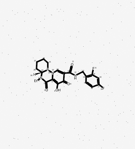 CCN1C(=O)c2c(O)c(=O)c(C(=O)NCc3ccc(F)cc3F)cn2N2CCCC[C@@H]12